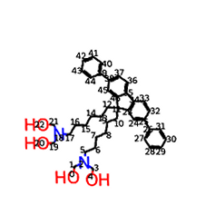 OCN(CO)CCCCCCC1(CCCCCCN(CO)CO)c2cc(-c3ccccc3)ccc2-c2ccc(-c3ccccc3)cc21